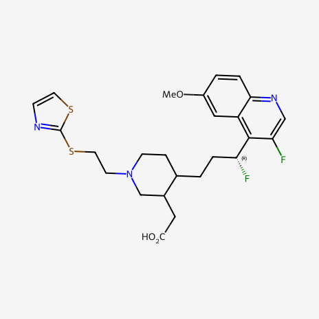 COc1ccc2ncc(F)c([C@H](F)CCC3CCN(CCSc4nccs4)CC3CC(=O)O)c2c1